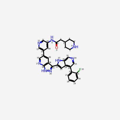 O=C(CC1CCNCC1)Nc1cncc(-c2cnc3[nH]nc(-c4cc5c(-c6ccccc6F)cncc5[nH]4)c3c2)c1